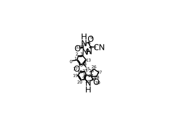 Cc1cc(-n2nc(C#N)c(=O)[nH]c2=O)cc(C)c1Oc1ccc2c(c1)C1(CCCC1)C(=O)N2